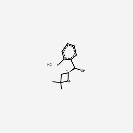 CC1(C)C[C@@H](C(O)c2ccccc2F)N1.Cl